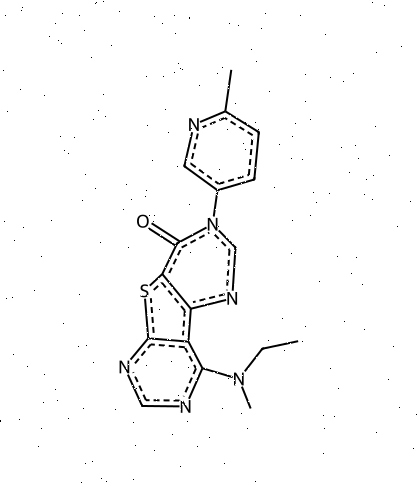 CCN(C)c1ncnc2sc3c(=O)n(-c4ccc(C)nc4)cnc3c12